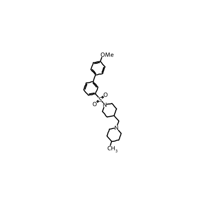 COc1ccc(-c2cccc(S(=O)(=O)N3CCC(CN4CCC(C)CC4)CC3)c2)cc1